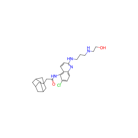 O=C(CC12CC3CC(CC(C3)C1)C2)Nc1c(Cl)ccc2nc(NCCCNCCO)ccc12